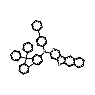 c1ccc(-c2ccc(N(c3ccc4c(c3)C(c3ccccc3)(c3ccccc3)c3ccccc3-4)c3cc4oc5cc6ccccc6cc5c4cn3)cc2)cc1